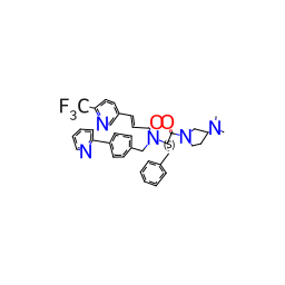 CN(C)C1CCN(C(=O)[C@H](Cc2ccccc2)N(Cc2ccc(-c3ccccn3)cc2)C(=O)C=Cc2ccc(C(F)(F)F)nc2)C1